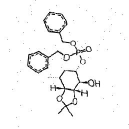 C[C@@H]1C[C@H](OP(=O)(OCc2ccccc2)OCc2ccccc2)[C@@H](O)[C@@H]2OC(C)(C)O[C@@H]21